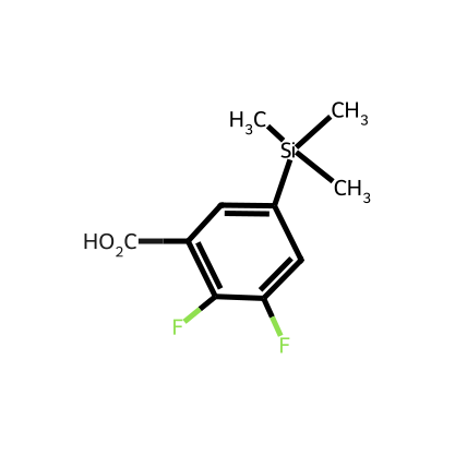 C[Si](C)(C)c1cc(F)c(F)c(C(=O)O)c1